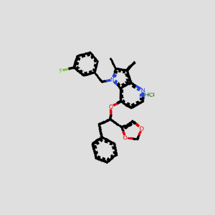 Cc1c(C)n(Cc2cccc(F)c2)c2c(OC(Cc3ccccc3)C3=COCO3)ccnc12.Cl